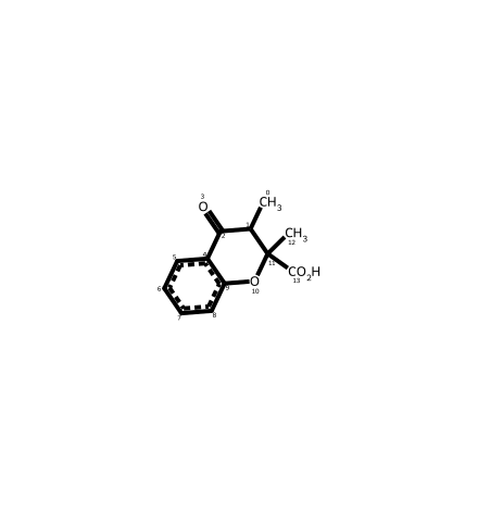 CC1C(=O)c2ccccc2OC1(C)C(=O)O